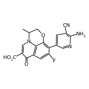 CC1COc2c(-c3cnc(N)c(C#N)c3)c(F)cc3c(=O)c(C(=O)O)cn1c23